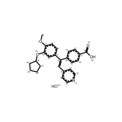 COc1ccc(C(=Cc2ccncc2)c2ccc(C(=O)O)cc2)cc1OC1CCCC1.Cl